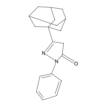 O=C1CC(C23CC4CC(CC(C4)C2)C3)=NN1c1ccccc1